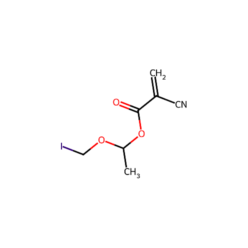 C=C(C#N)C(=O)OC(C)OCI